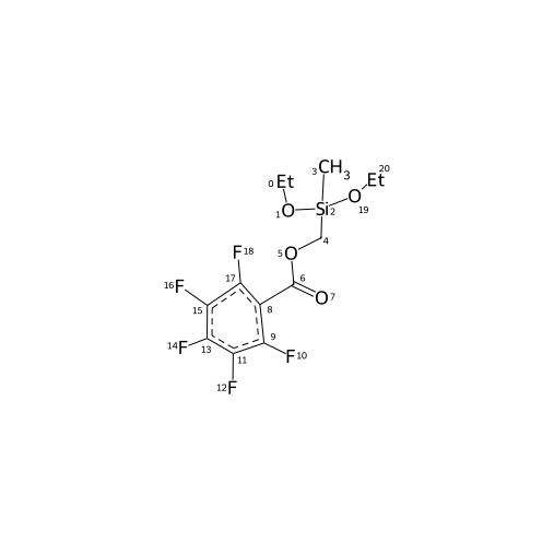 CCO[Si](C)(COC(=O)c1c(F)c(F)c(F)c(F)c1F)OCC